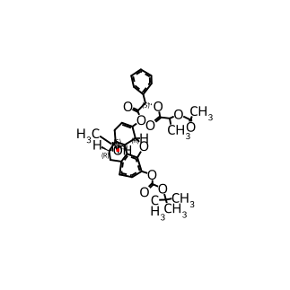 CC(=O)OC(C)C(=O)O[C@H](C(=O)OC1=CC[C@@]2(O)[C@H]3Cc4ccc(OC(=O)OC(C)(C)C)c5c4[C@@]2(CCN3C)[C@H]1O5)c1ccccc1